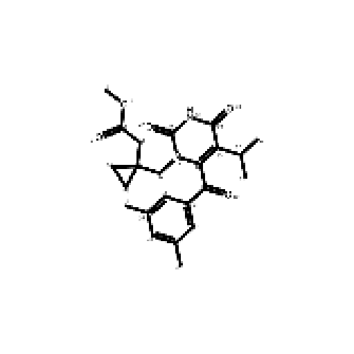 COC(=O)CC1(Cn2c(C(=O)c3cc(C)cc(C)c3)c(C(C)C)c(=O)[nH]c2=O)CC1